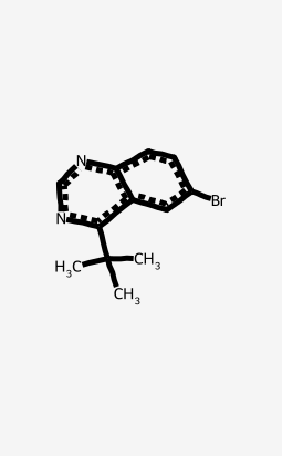 CC(C)(C)c1ncnc2ccc(Br)cc12